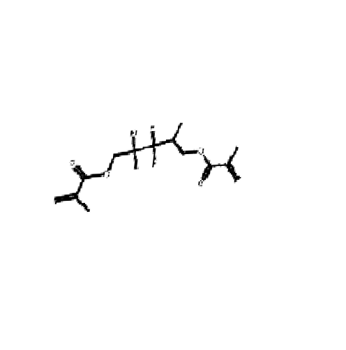 C=C(C)C(=O)OCC(C)C(F)(F)C(C)(CC)COC(=O)C(=C)C